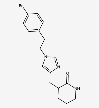 O=C1NCCCC1Cc1cn(CCc2ccc(Br)cc2)cn1